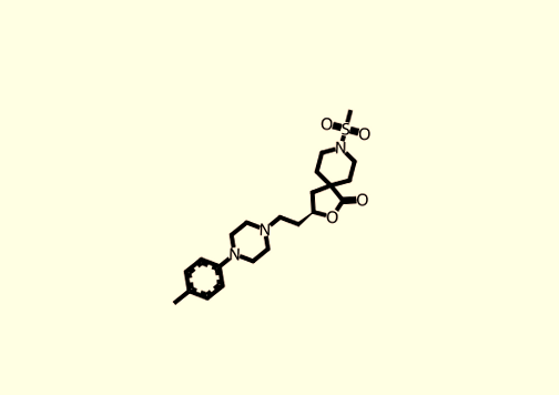 Cc1ccc(N2CCN(CC[C@H]3CC4(CCN(S(C)(=O)=O)CC4)C(=O)O3)CC2)cc1